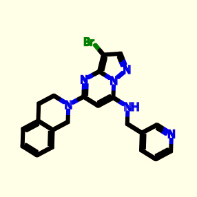 Brc1cnn2c(NCc3cccnc3)cc(N3CCc4ccccc4C3)nc12